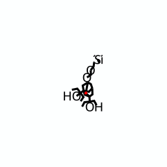 CCC(O)(CC)C12CC3CC(OCOCC[Si](C)(C)C)(C1)CC(C(O)(CC)CC)(C3)C2